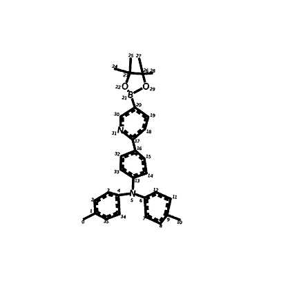 Cc1ccc(N(c2ccc(C)cc2)c2ccc(-c3ccc(B4OC(C)(C)C(C)(C)O4)cn3)cc2)cc1